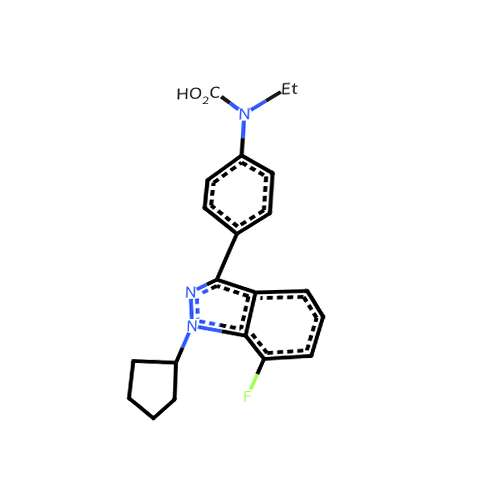 CCN(C(=O)O)c1ccc(-c2nn(C3CCCC3)c3c(F)cccc23)cc1